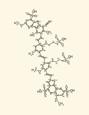 COc1cc(S(=O)(=O)O)c2nc3c(C#N)c(C)c(N=Nc4cc(C)c(N=Nc5cc(OC)c(N=Nc6nc7c(S(=O)(=O)O)cc8c(OC)cc(S(=O)(=O)O)cc8c7s6)cc5SCCCS(=O)(=O)O)cc4OCCCS(=O)(=O)O)c(O)n3c2c1